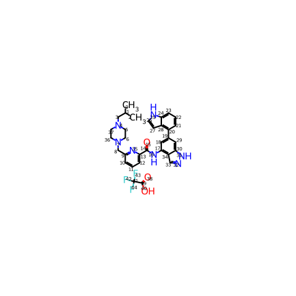 CC(C)CN1CCN(Cc2cccc(C(=O)Nc3cc(-c4cccc5[nH]ccc45)cc4[nH]ncc34)n2)CC1.O=C(O)C(F)(F)F